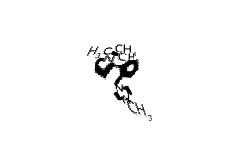 CN1CCN(Cc2ccccc2[C@H]2CCCN2C(C)(C)C)CC1